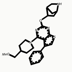 COCC1CCN(c2nc(OC3CC4CC3CN4)nc3scc(-c4ccccc4)c23)CC1